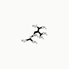 CC(C)O[SiH2]C=C(C(C)C)C(C)C